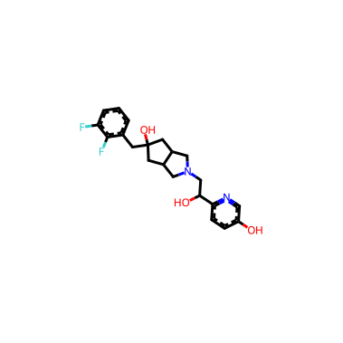 Oc1ccc(C(O)CN2CC3CC(O)(Cc4cccc(F)c4F)CC3C2)nc1